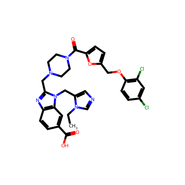 CCn1cncc1Cn1c(CN2CCN(C(=O)c3ccc(COc4ccc(Cl)cc4Cl)o3)CC2)nc2ccc(C(=O)O)cc21